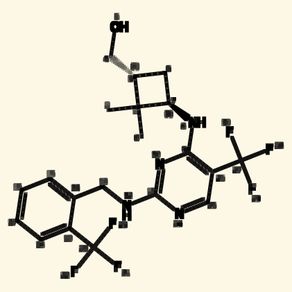 CC1(C)[C@H](CO)C[C@H]1Nc1nc(NCc2ccccc2C(F)(F)F)ncc1C(F)(F)F